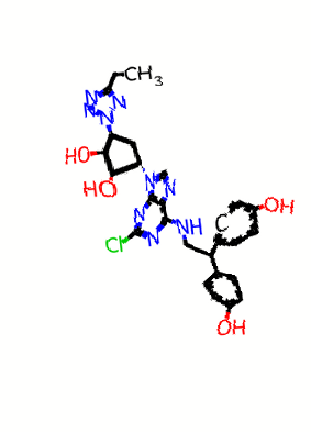 CCc1nnn([C@H]2C[C@H](n3cnc4c(NCC(c5ccc(O)cc5)c5ccc(O)cc5)nc(Cl)nc43)[C@H](O)[C@H]2O)n1